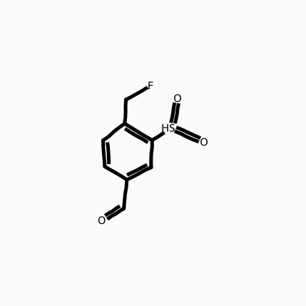 O=Cc1ccc(CF)c([SH](=O)=O)c1